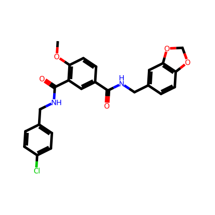 COc1ccc(C(=O)NCc2ccc3c(c2)OCO3)cc1C(=O)NCc1ccc(Cl)cc1